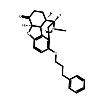 CN1CC[C@@]23c4c5ccc(OCCCc6ccccc6)c4C[C@@H]1[C@@H]2CCC(=O)[C@@H]3O5